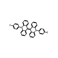 Fc1ccc(N2c3ccccc3C(=C3c4ccccc4N(c4ccc(F)cc4)c4ccccc43)c3ccccc32)cc1